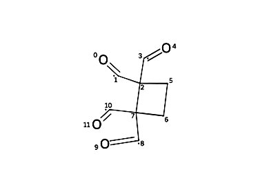 O=[C]C1([C]=O)CCC1([C]=O)[C]=O